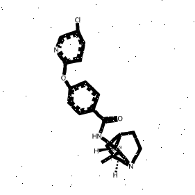 C[C@H]1[C@H](NC(=O)c2ccc(Oc3ccc(Cl)cn3)cc2)C2CCN1CC2